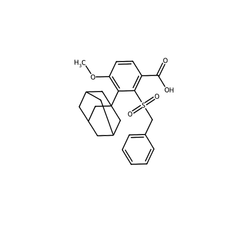 COc1ccc(C(=O)O)c(S(=O)(=O)Cc2ccccc2)c1C12CC3CC(CC(C3)C1)C2